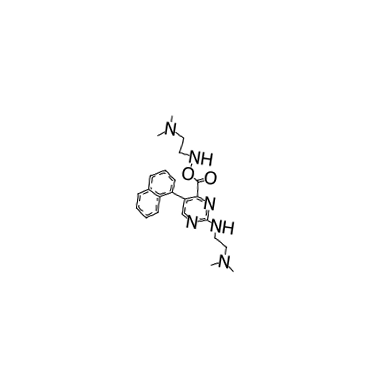 CN(C)CCNOC(=O)c1nc(NCCN(C)C)ncc1-c1cccc2ccccc12